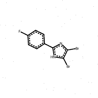 Fc1ccc(-c2nc(Br)c(Br)[nH]2)cc1